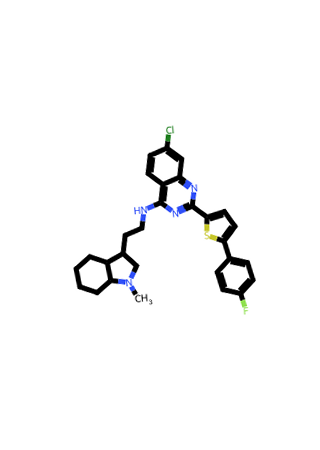 CN1CC(CCNc2nc(-c3ccc(-c4ccc(F)cc4)s3)nc3cc(Cl)ccc23)C2CCCCC21